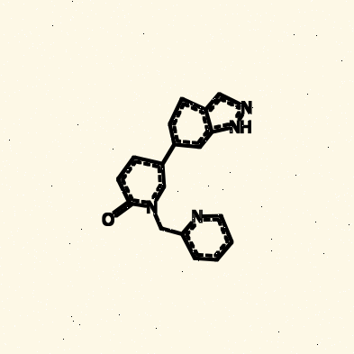 O=c1ccc(-c2ccc3cn[nH]c3c2)cn1Cc1ccccn1